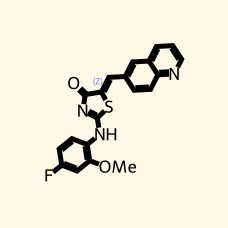 COc1cc(F)ccc1NC1=NC(=O)/C(=C/c2ccc3ncccc3c2)S1